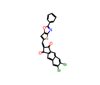 O=C1C(=Cc2cc3oc(-c4ccccc4)nc3s2)C(=O)c2cc3cc(Br)c(Br)cc3cc21